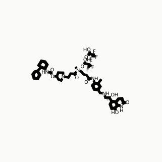 Cc1cc(CNC[C@H](O)c2ccc(O)c3[nH]c(=O)ccc23)ccc1NC(=O)CCCN(C)C(=O)CCN1CCC(OC(=O)Nc2ccccc2-c2ccccc2)CC1.O=C(O)C(F)(F)F.O=C(O)C(F)(F)F